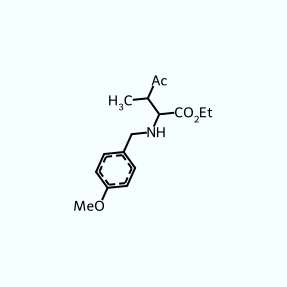 CCOC(=O)C(NCc1ccc(OC)cc1)C(C)C(C)=O